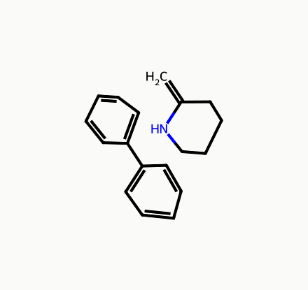 C=C1CCCCN1.c1ccc(-c2ccccc2)cc1